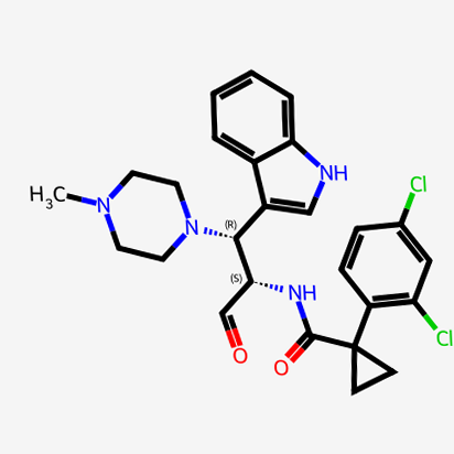 CN1CCN([C@H](c2c[nH]c3ccccc23)[C@@H](C=O)NC(=O)C2(c3ccc(Cl)cc3Cl)CC2)CC1